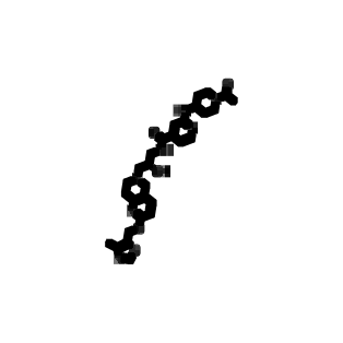 CC(=O)N1CCC(Nc2cc(C(=O)NC[C@H](O)CN3CCc4nc(OCc5ocnc5C)ccc4C3)ccn2)CC1